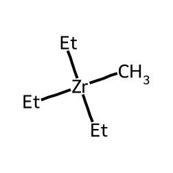 C[CH2][Zr]([CH3])([CH2]C)[CH2]C